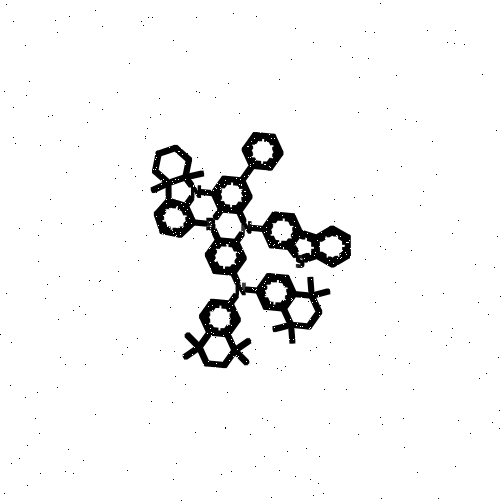 CC1(C)CCC(C)(C)c2cc(N(c3ccc4c(c3)N(c3ccc5c(c3)sc3ccccc35)c3cc(-c5ccccc5)cc5c3B4c3cccc4c3N5C3(C)CCCCC43C)c3ccc4c(c3)C(C)(C)CCC4(C)C)ccc21